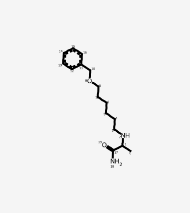 CC(NCCCC[CH]COCc1ccccc1)C(N)=O